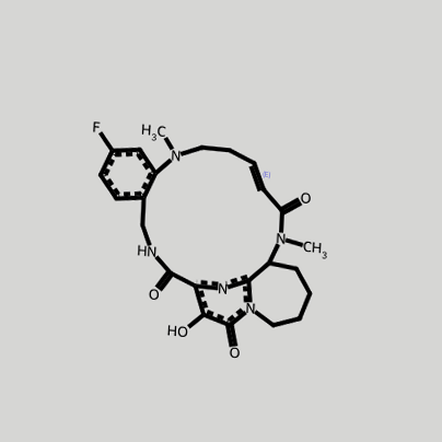 CN1CC/C=C/C(=O)N(C)C2CCCCn3c2nc(c(O)c3=O)C(=O)NCc2ccc(F)cc21